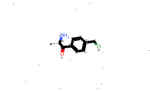 C[C@H](N)C(=O)c1ccc(CCl)cc1